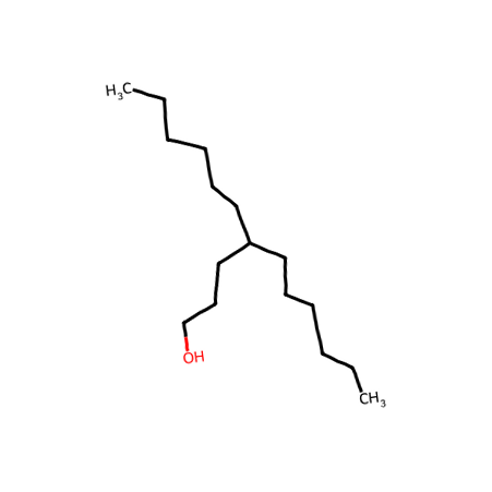 CCCCCCC(CCCO)CCCCCC